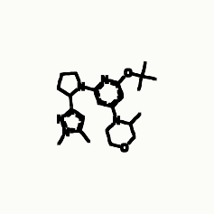 Cc1cc(C2CCCN2c2cc(N3CCOCC3C)cc(OC(C)(C)C)n2)nn1C